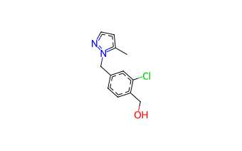 Cc1ccnn1Cc1ccc(CO)c(Cl)c1